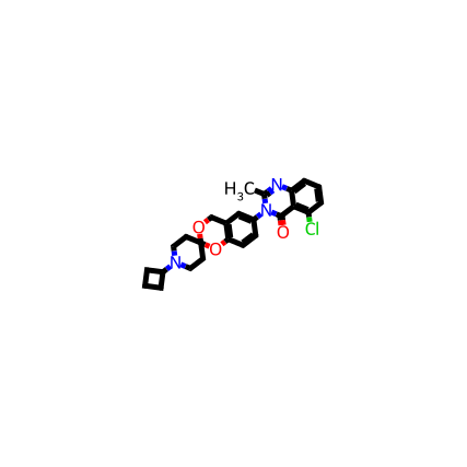 Cc1nc2cccc(Cl)c2c(=O)n1-c1ccc2c(c1)COC1(CCN(C3CCC3)CC1)O2